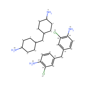 NC1CCC(CC2CCC(N)CC2)CC1.Nc1ccc(Cc2ccc(N)c(Cl)c2)cc1Cl